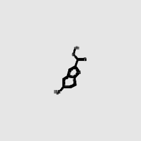 CCCOC(=O)c1cc2cc(C)ccc2s1